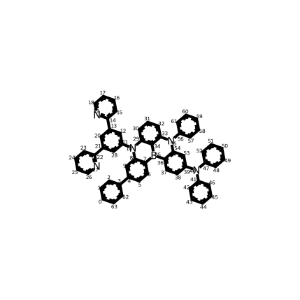 c1ccc(-c2ccc3c(c2)N(c2cc(-c4ccccn4)cc(-c4ccccn4)c2)c2cccc4c2B3c2ccc(N(c3ccccc3)c3ccccc3)cc2N4c2ccccc2)cc1